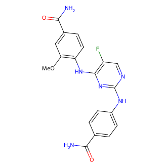 COc1cc(C(N)=O)ccc1Nc1nc(Nc2ccc(C(N)=O)cc2)ncc1F